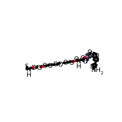 C=C(/C(F)=C(C)\C(=C/C)C(=O)N1CCOc2ccc(-c3ccc(N)nc3)cc2C1)S(=O)(=O)CCNC(=O)CCOCCOCCOCCOCCOCCOCCOCCOCCNC(C)=S